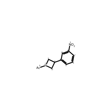 CC(=O)N1CC(c2cccc([N+](=O)[O-])c2)C1